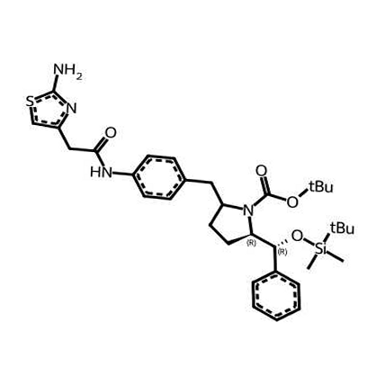 CC(C)(C)OC(=O)N1C(Cc2ccc(NC(=O)Cc3csc(N)n3)cc2)CC[C@@H]1[C@H](O[Si](C)(C)C(C)(C)C)c1ccccc1